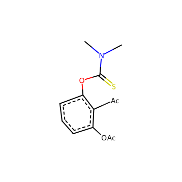 CC(=O)Oc1cccc(OC(=S)N(C)C)c1C(C)=O